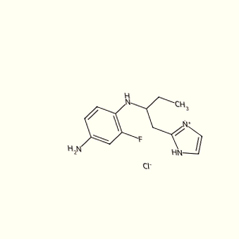 CCC(CC1=[N+]C=CN1)Nc1ccc(N)cc1F.[Cl-]